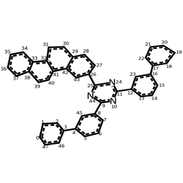 c1ccc(-c2cccc(-c3nc(-c4cccc(-c5ccccc5)c4)nc(-c4ccc5ccc6c7ccccc7ccc6c5c4)n3)c2)cc1